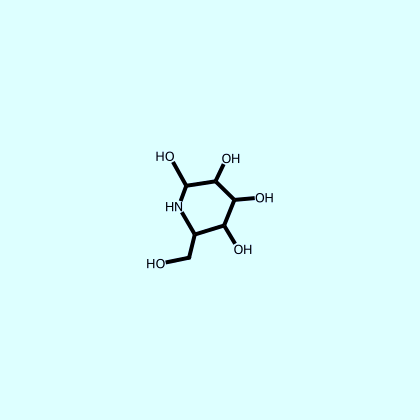 OCC1NC(O)C(O)C(O)C1O